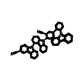 N#Cc1ccc2c(c1)c1ccccc1n2-c1cccc2c1c1ccccc1n2-c1ccc(-c2ccccc2-n2c3ccccc3c3ccccc32)cc1C#N